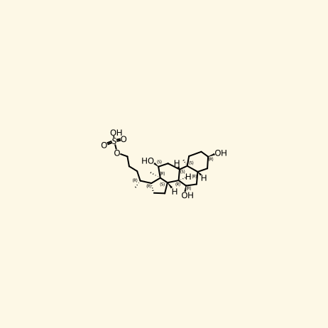 C[C@H](CCCOS(=O)(=O)O)[C@H]1CC[C@H]2[C@@H]3[C@H](O)C[C@H]4C[C@H](O)CC[C@]4(C)[C@H]3C[C@H](O)[C@]12C